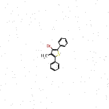 Cc1c(-c2ccccc2)sc(-c2ccccc2)c1Br